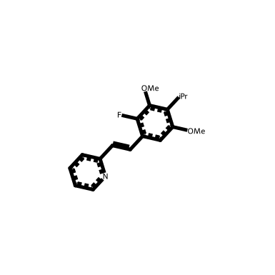 COc1cc(C=Cc2ccccn2)c(F)c(OC)c1C(C)C